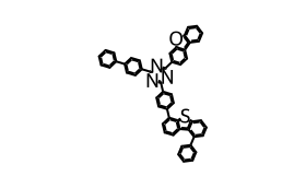 c1ccc(-c2ccc(-c3nc(-c4ccc(-c5cccc6c5sc5cccc(-c7ccccc7)c56)cc4)nc(-c4ccc5c(c4)oc4ccccc45)n3)cc2)cc1